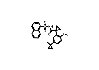 COc1ccc(C2(C)CC2)cc1C1(C(=O)NS(=O)(=O)c2cccc3ncccc23)CC1